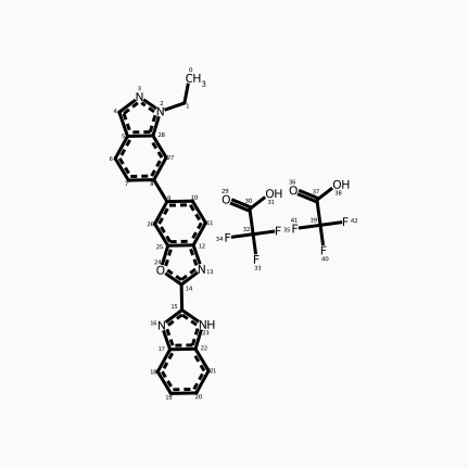 CCn1ncc2ccc(-c3ccc4nc(-c5nc6ccccc6[nH]5)oc4c3)cc21.O=C(O)C(F)(F)F.O=C(O)C(F)(F)F